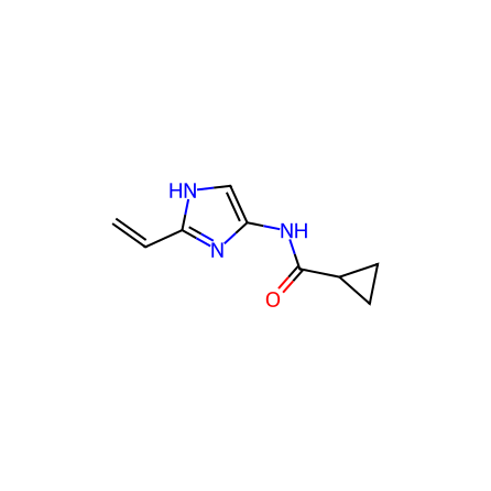 C=Cc1nc(NC(=O)C2CC2)c[nH]1